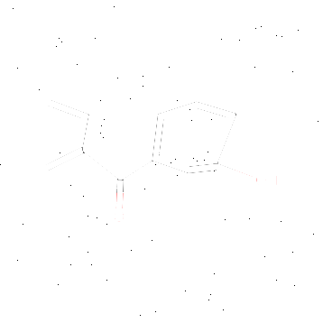 C=CC(=C)C(=O)c1cccc(O)c1